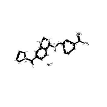 Cl.N=C(N)c1cccc(CNc2ncnc3cc(C(=O)N4CC=CC4)ccc23)c1